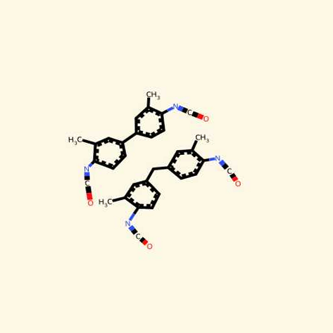 Cc1cc(-c2ccc(N=C=O)c(C)c2)ccc1N=C=O.Cc1cc(Cc2ccc(N=C=O)c(C)c2)ccc1N=C=O